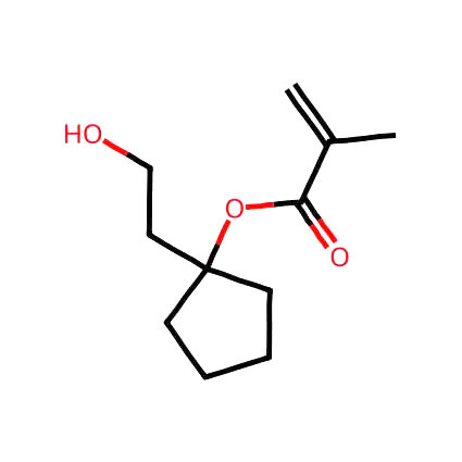 C=C(C)C(=O)OC1(CCO)CCCC1